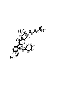 COc1cccc2c(C(=O)N3CCN(CCCO[N+](=O)[O-])C(C)C3)cn(CC3CCCCC3)c12